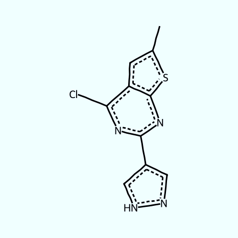 Cc1cc2c(Cl)nc(-c3cn[nH]c3)nc2s1